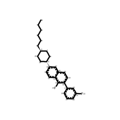 CCCCCC[C@H]1CC[C@H](c2ccc3c(F)c(-c4cccc(F)c4)ccc3c2)CC1